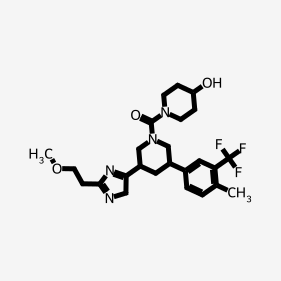 COCCC1=NCC(C2CC(c3ccc(C)c(C(F)(F)F)c3)CN(C(=O)N3CCC(O)CC3)C2)=N1